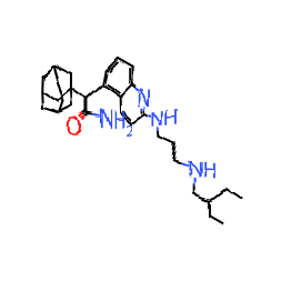 CCC(CC)CNCCCNc1ccc2c(C(C(N)=O)C34CC5CC(CC(C5)C3)C4)cccc2n1